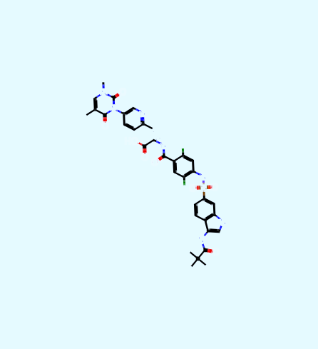 Cc1cn(C)c(=O)n(-c2ccc(C[C@H](NC(=O)c3cc(F)c(NS(=O)(=O)c4ccc5c(NC(=O)C(C)(C)C)c[nH]c5c4)cc3F)C(=O)O)nc2)c1=O